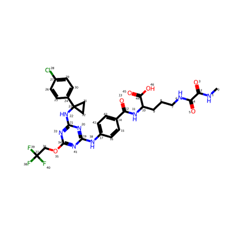 CNC(=O)C(=O)NCCCC(NC(=O)c1ccc(Nc2nc(NC3(c4ccc(Cl)cc4)CC3)nc(OCC(F)(F)F)n2)cc1)C(=O)O